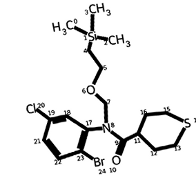 C[Si](C)(C)CCOCN(C(=O)C1CCSCC1)c1cc(Cl)ccc1Br